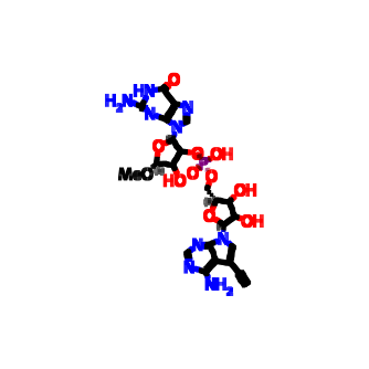 C#Cc1cn([C@@H]2O[C@H](COP(=O)(O)OC3C(O)[C@@H](OC)O[C@H]3n3cnc4c(=O)[nH]c(N)nc43)C(O)C2O)c2ncnc(N)c12